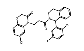 [O]c1ccc(F)cc1C1c2ccccc2CCN1C(=O)CCN1C(=O)COc2ccc(Cl)cc21